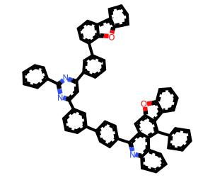 c1ccc(-c2nc(-c3cccc(-c4ccc(-c5nc6ccccc6c6c(-c7ccccc7)c7c(cc56)oc5ccccc57)cc4)c3)cc(-c3cccc(-c4cccc5c4oc4ccccc45)c3)n2)cc1